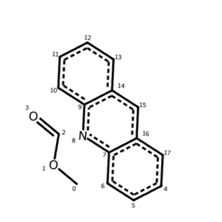 COC=O.c1ccc2nc3ccccc3cc2c1